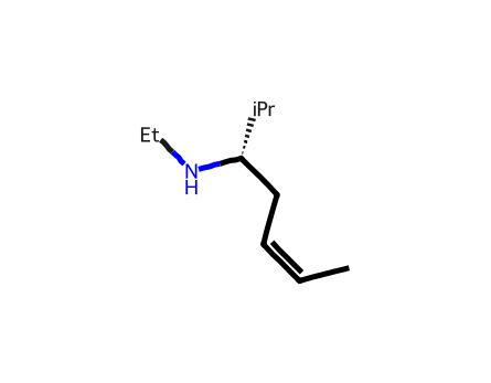 C/C=C\C[C@H](NCC)C(C)C